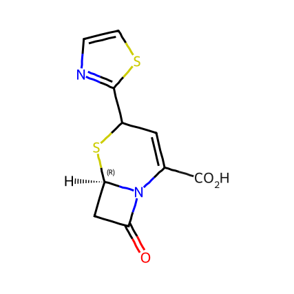 O=C(O)C1=CC(c2nccs2)S[C@@H]2CC(=O)N12